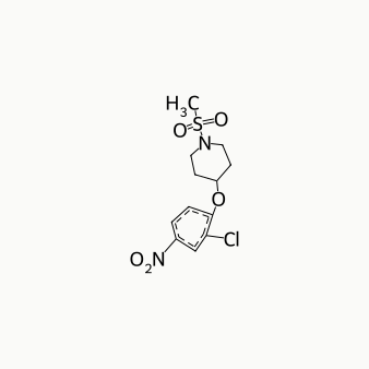 CS(=O)(=O)N1CCC(Oc2ccc([N+](=O)[O-])cc2Cl)CC1